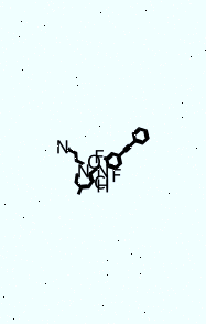 CC1=CC(Cl)=C(C(=O)Nc2c(F)cc(C#Cc3ccccc3)cc2F)N(CCCC#N)CC1